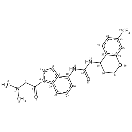 CN(C)CC(=O)n1ncc2c(NC(=O)NC3CCOc4cc(C(F)(F)F)ccc43)cccc21